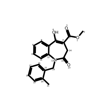 COC(=O)C1=C(O)c2ccccc2N(Cc2ccccc2C)C(=O)C1